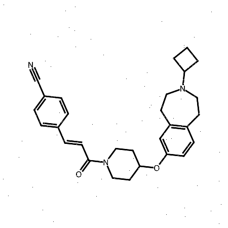 N#Cc1ccc(/C=C/C(=O)N2CCC(Oc3ccc4c(c3)CCN(C3CCC3)CC4)CC2)cc1